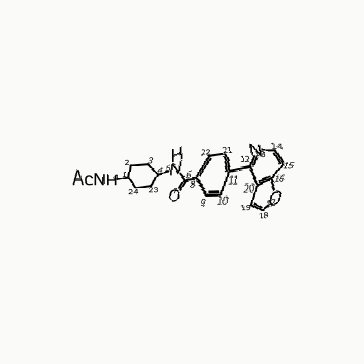 CC(=O)NC1CCC(NC(=O)c2ccc(-c3nccc4occc34)cc2)CC1